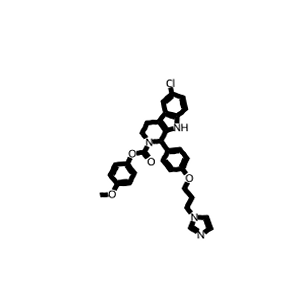 COc1ccc(OC(=O)N2CCc3c([nH]c4ccc(Cl)cc34)C2c2ccc(OCCCn3ccnc3)cc2)cc1